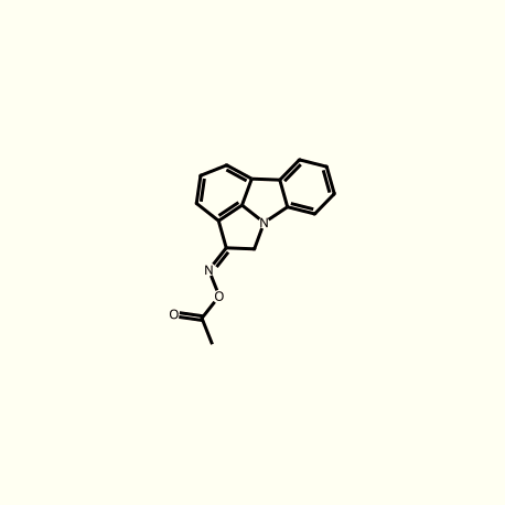 CC(=O)O/N=C1\Cn2c3ccccc3c3cccc1c32